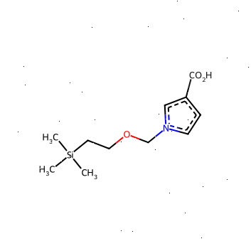 C[Si](C)(C)CCOCn1ccc(C(=O)O)c1